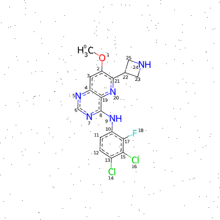 COc1cc2ncnc(Nc3ccc(Cl)c(Cl)c3F)c2nc1C1CNC1